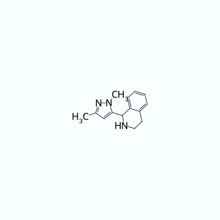 Cc1cc(C2NCCc3ccccc32)n(C)n1